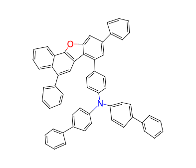 c1ccc(-c2ccc(N(c3ccc(-c4ccccc4)cc3)c3ccc(-c4cc(-c5ccccc5)cc5oc6c7ccccc7c(-c7ccccc7)cc6c45)cc3)cc2)cc1